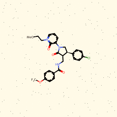 COCCn1cccc(N2C[C@@H](c3ccc(Cl)cc3)C(CNC(=O)c3ccc(OC(F)(F)F)cc3)C2=O)c1=O